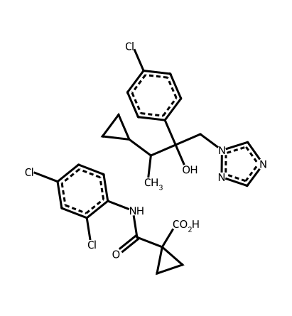 CC(C1CC1)C(O)(Cn1cncn1)c1ccc(Cl)cc1.O=C(O)C1(C(=O)Nc2ccc(Cl)cc2Cl)CC1